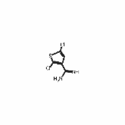 N=C(N)c1cc(Cl)sc1Cl